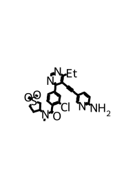 CCc1ncnc(-c2ccc(C(=O)N(C)C3CCS(=O)(=O)C3)c(Cl)c2)c1C#Cc1ccc(N)nc1